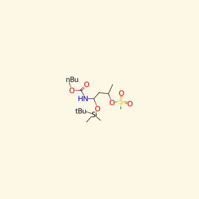 CCCCOC(=O)NC(CC(C)OS(C)(=O)=O)O[Si](C)(C)C(C)(C)C